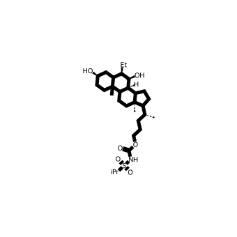 CC[C@@H]1C2C[C@H](O)CCC2(C)C2CC[C@@]3(C)C(CCC3[C@H](C)CCCOC(=O)NS(=O)(=O)C(C)C)[C@@H]2[C@@H]1O